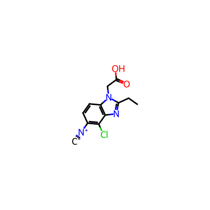 [C-]#[N+]c1ccc2c(nc(CC)n2CC(=O)O)c1Cl